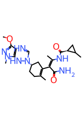 COc1cc(NN(C=N)[C@H]2CCC(C)=C(/C(C(N)=O)=C(\C)NC(=O)[C@H]3CC3C)C2)n(C)n1